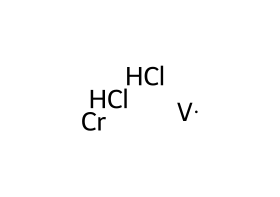 Cl.Cl.[Cr].[V]